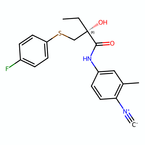 [C-]#[N+]c1ccc(NC(=O)[C@](O)(CC)CSc2ccc(F)cc2)cc1C